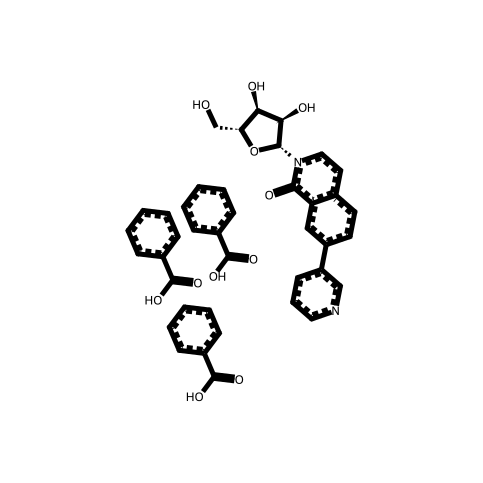 O=C(O)c1ccccc1.O=C(O)c1ccccc1.O=C(O)c1ccccc1.O=c1c2cc(-c3cccnc3)ccc2ccn1[C@@H]1O[C@H](CO)[C@@H](O)[C@H]1O